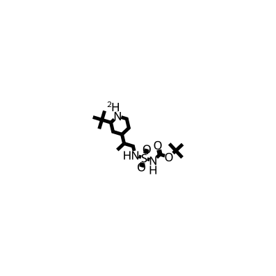 [2H]N1CCC(C(C)CNS(=O)(=O)NC(=O)OC(C)(C)C)CC1C(C)(C)C